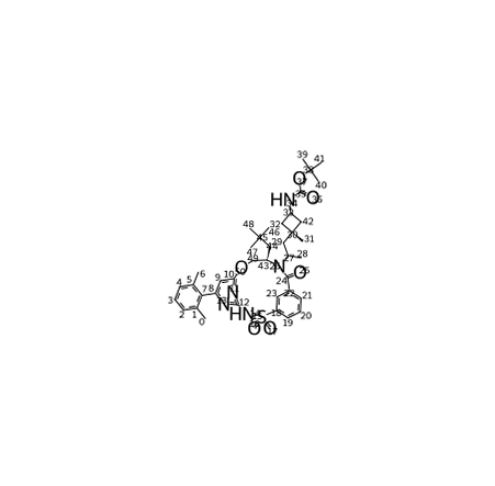 Cc1cccc(C)c1-c1cc2nc(n1)NS(=O)(=O)c1cccc(c1)C(=O)N(C(C)C[C@]1(C)C[C@@H](NC(=O)OC(C)(C)C)C1)[C@H](CC(C)(C)C)CO2